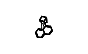 c1ccc2c(C3C4CNC3C4)cccc2c1